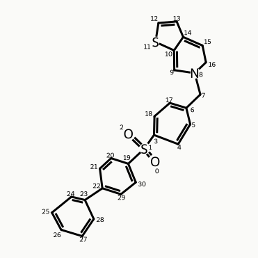 O=S(=O)(c1ccc(CN2C=c3sccc3=CC2)cc1)c1ccc(-c2ccccc2)cc1